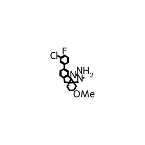 COC1CCC23Cc4ccc(-c5ccc(F)c(Cl)c5)cc4C24N=C(N)N(C)CC34C1